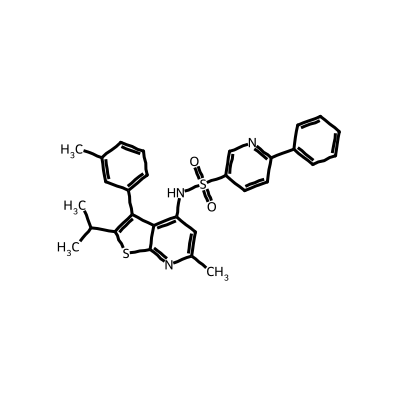 Cc1cccc(-c2c(C(C)C)sc3nc(C)cc(NS(=O)(=O)c4ccc(-c5ccccc5)nc4)c23)c1